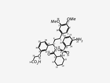 COc1ccc(CC[C@@H](OC(=O)C2CCCCN2S(=O)(=O)c2cccc(N)c2)c2cccc(OCC(=O)O)c2)cc1OC